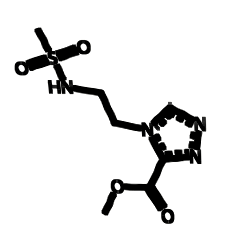 COC(=O)c1nn[c]n1CCNS(C)(=O)=O